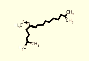 C/N=N\C(=C/CCCCCCCC(C)C)CCCC(C)C